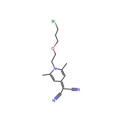 CC1=CC(=C(C#N)C#N)C=C(C)N1CCOCCCBr